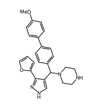 COc1ccc(-c2ccc(C(c3c[nH]nc3-c3ccco3)N3CCNCC3)cc2)cc1